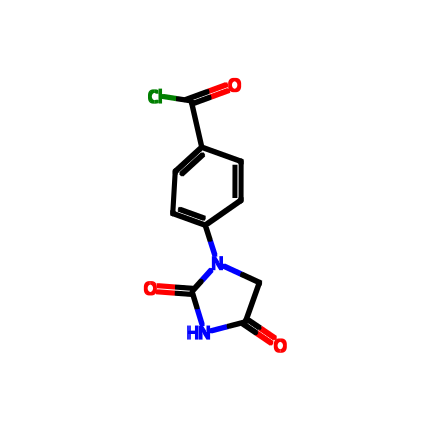 O=C1CN(c2ccc(C(=O)Cl)cc2)C(=O)N1